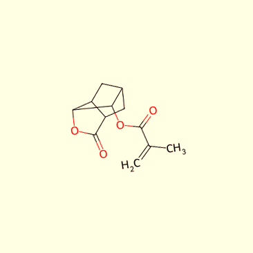 C=C(C)C(=O)OC1C2CC3C(=O)OC1C3C2